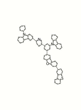 c1ccc(-n2c3ccccc3c3cc(-c4ccc(-c5cc(-c6ccc7oc8cc(-c9ccc%10sc%11ccccc%11c%10c9)ccc8c7c6)cc(-n6c7ccccc7c7ccccc76)c5)cn4)ccc32)cc1